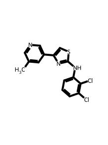 Cc1cncc(-c2csc(Nc3cccc(Cl)c3Cl)n2)c1